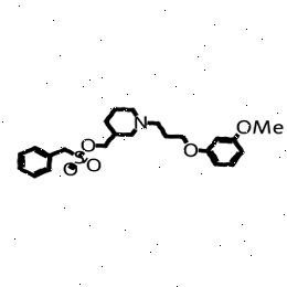 COc1cccc(OCCCN2CCCC(COS(=O)(=O)Cc3ccccc3)C2)c1